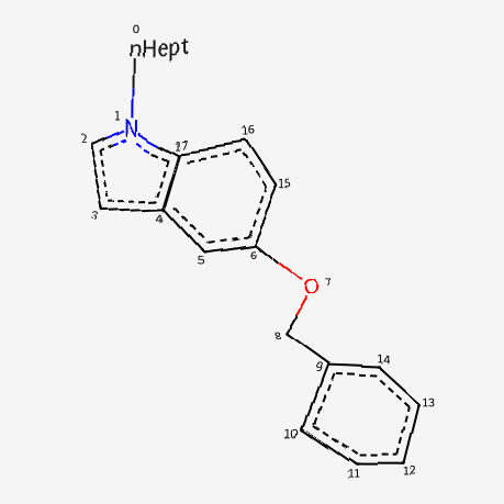 CCCCCCCn1ccc2cc(OCc3ccccc3)ccc21